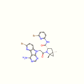 C[C@@]12C[C@@H](C(=O)Nc3cccc(Br)n3)N(C(=O)Cn3c4ccc(Br)nc4c4c(N)ncnc43)[C@@]1(C)C2